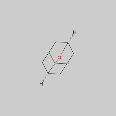 C1[C]2C[C@H]3C[C]1C[C@@H](C2)O3